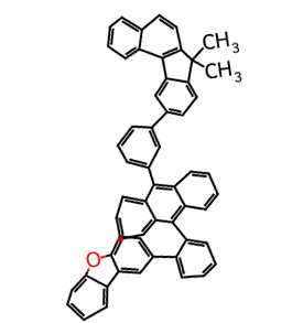 CC1(C)c2ccc(-c3cccc(-c4c5ccccc5c(-c5ccccc5-c5ccc6oc7ccccc7c6c5)c5ccccc45)c3)cc2-c2c1ccc1ccccc21